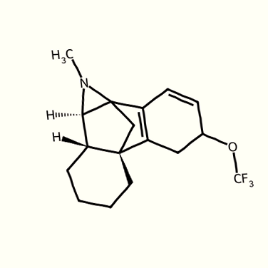 CN1[C@@H]2[C@H]3CCCC[C@]34CC21C1=C4CC(OC(F)(F)F)C=C1